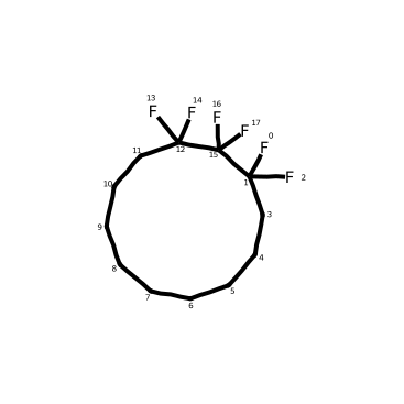 FC1(F)CCCCCCCCCC(F)(F)C1(F)F